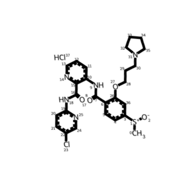 C[S+]([O-])c1ccc(C(=O)Nc2cccnc2C(=O)Nc2ccc(Cl)cn2)c(OCCCN2CCCC2)c1.Cl